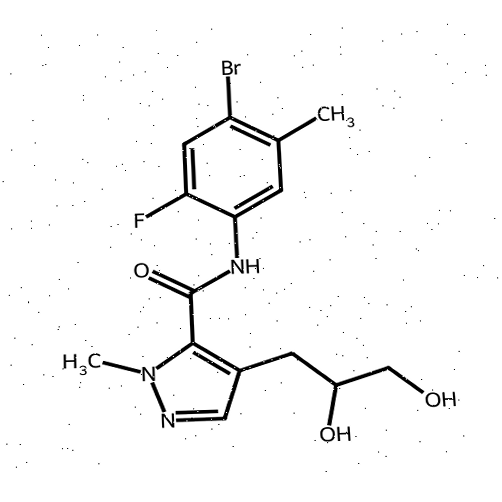 Cc1cc(NC(=O)c2c(CC(O)CO)cnn2C)c(F)cc1Br